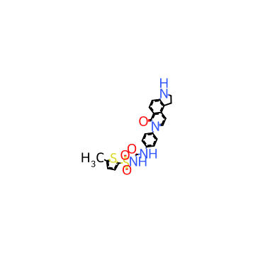 Cc1ccc(S(=O)(=O)NC(=O)Nc2ccc(-n3ccc4c5c(ccc4c3=O)NCC5)cc2)s1